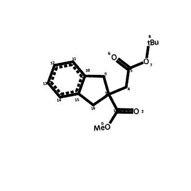 COC(=O)C1(CC(=O)OC(C)(C)C)Cc2ccccc2C1